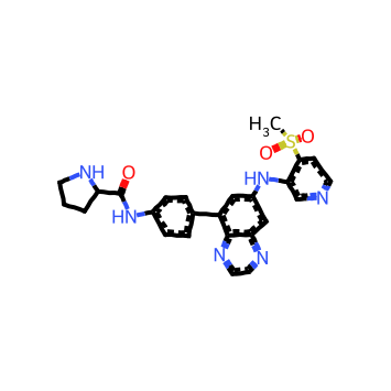 CS(=O)(=O)c1ccncc1Nc1cc(-c2ccc(NC(=O)C3CCCN3)cc2)c2nccnc2c1